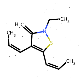 C=C1C(/C=C\C)=C(/C=C\C)SN1CC